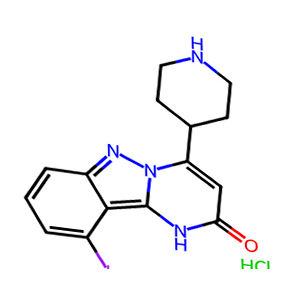 Cl.O=c1cc(C2CCNCC2)n2nc3cccc(I)c3c2[nH]1